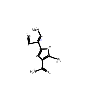 CN/C=C(\C=N)c1cc(C(N)=O)c(N)s1